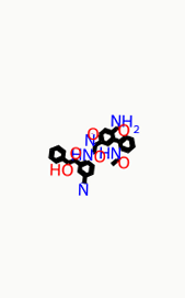 CC(=O)Nc1ccccc1-c1cc2c(C(=O)Nc3ccc(C#N)cc3C(=O)C(O)c3ccccc3)noc2cc1C(N)=O